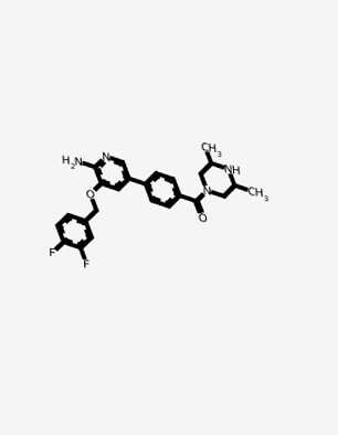 CC1CN(C(=O)c2ccc(-c3cnc(N)c(OCc4ccc(F)c(F)c4)c3)cc2)CC(C)N1